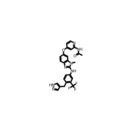 CC(=O)Nc1cc(Oc2ccc3nc(Nc4ccc(Cc5cn[nH]c5)c(C(F)(F)F)c4)n(C)c3c2)ccn1